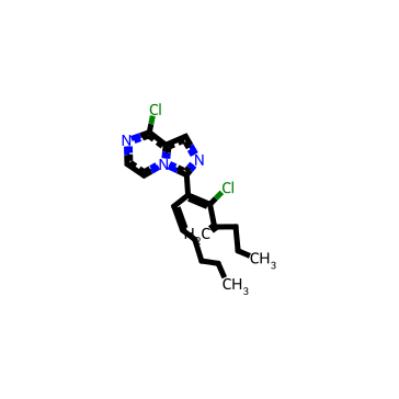 C=C(CCC)/C(Cl)=C(\C=C/CCCC)c1ncc2c(Cl)nccn12